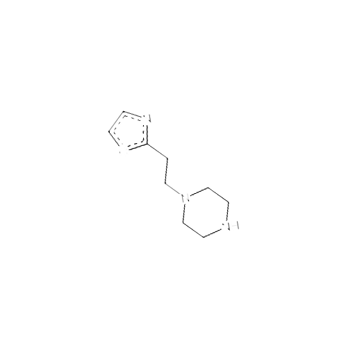 c1coc(CCN2CCNCC2)n1